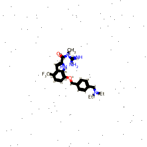 CCN(CC)Cc1ccc(COc2ccc(C(F)(F)F)c3cc(C(=O)N(C)C(=N)N)[nH]c23)cc1